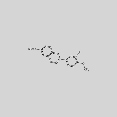 CCCCCc1ccc2cc(-c3ccc(OC(F)(F)F)c(F)c3)ccc2c1